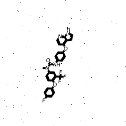 CN(C(=O)Nc1ccc(Oc2ccnc3[nH]ccc23)cc1)c1ccc(Oc2ccc(F)cc2)c(C(F)(F)F)c1